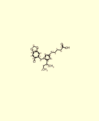 CCC(C)c1nc(SCCCC(=O)O)cn1Cc1cc2c(cc1Cl)OCO2